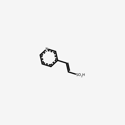 O=S(=O)(O)C=Cc1cccnc1